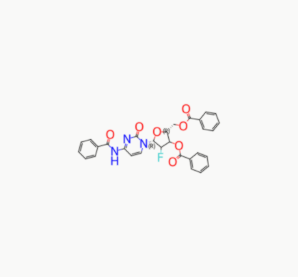 O=C(Nc1ccn([C@@H]2O[C@H](COC(=O)c3ccccc3)C(OC(=O)c3ccccc3)C2F)c(=O)n1)c1ccccc1